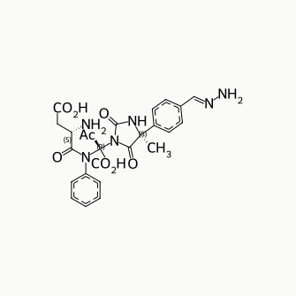 CC(=O)[C@](C(=O)O)(N1C(=O)N[C@@](C)(c2ccc(C=NN)cc2)C1=O)N(C(=O)[C@@H](N)CC(=O)O)c1ccccc1